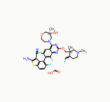 CN1CC/C(=C\F)[C@](C)(COc2nc(N3CCOC[C@@](C)(O)C3)c3cc(Cl)c(-c4c(F)ccc5sc(N)c(C#N)c45)c(F)c3n2)C1.O=CO